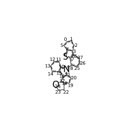 c1ccc2c(c1)sc1c(-n3c4ccccc4c4c5c(ccc43)CCO5)cccc12